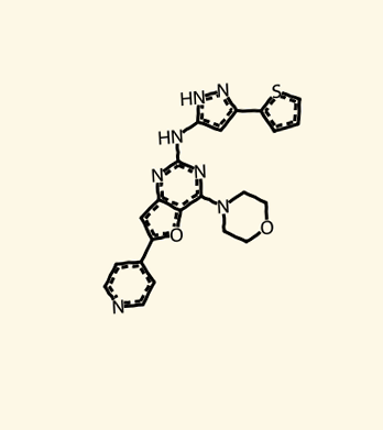 c1csc(-c2cc(Nc3nc(N4CCOCC4)c4oc(-c5ccncc5)cc4n3)[nH]n2)c1